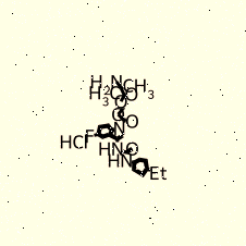 CCc1ccc(NC(=O)Nc2cn(C(=O)OCOC(=O)C(C)(C)N)c3ccc(F)cc23)cc1.Cl